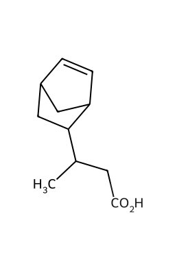 CC(CC(=O)O)C1CC2C=CC1C2